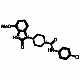 COc1cccc2c1[nH]c(=O)n2C1CCN(C(=O)Nc2ccc(Cl)cc2)CC1